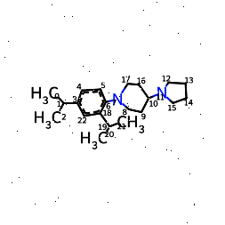 CC(C)c1ccc(N2CCC(N3CCCC3)CC2)c(C(C)C)c1